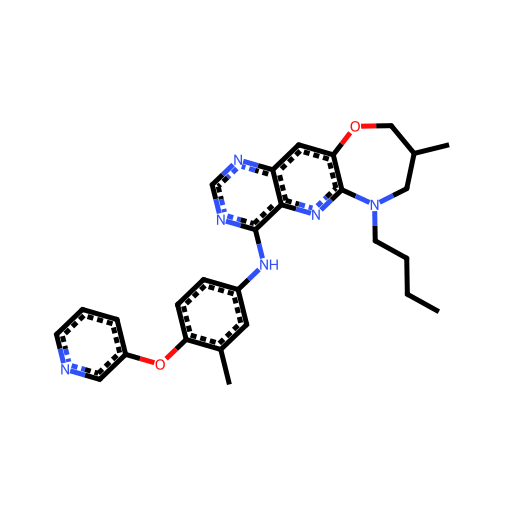 CCCCN1CC(C)COc2cc3ncnc(Nc4ccc(Oc5cccnc5)c(C)c4)c3nc21